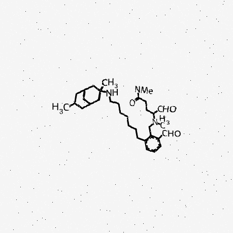 CNC(=O)CCC(C=O)N(C)Cc1c(C=O)cccc1CCCCCCCNC1(C)CC2CC(C)CC(C2)C1